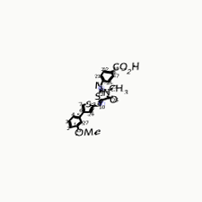 COc1cccc(-c2csc(/C=C3\S/C(=N/c4ccc(C(=O)O)cc4)N(C)C3=O)c2)c1